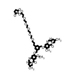 C=C1C[C@H]2C=Nc3cc(OCc4cc(CCCOCCOCCOCCOCCOCCC(=O)ON5C(=O)CCC5=O)cc(COc5cc6c(cc5OC)C(=O)N5CC(=C)C[C@H]5C=N6)c4)c(C)cc3C(=O)N2C1